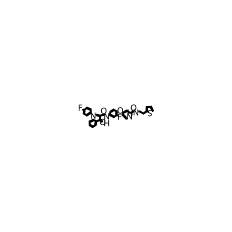 O=C(NCCc1cccs1)c1cc(Oc2ccc(NC(=O)c3cn(-c4ccc(F)cc4)c4ccccc4c3=O)cc2F)ccn1